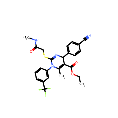 CCOC(=O)C1=C(C)N(c2cccc(C(F)(F)F)c2)C(SCC(=O)NC)=NC1c1ccc(C#N)cc1